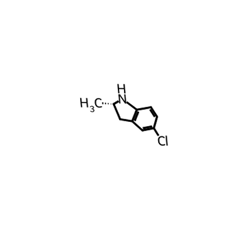 C[C@H]1Cc2cc(Cl)ccc2N1